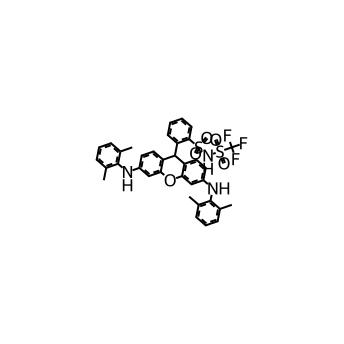 Cc1cccc(C)c1Nc1ccc2c(c1)Oc1cc(Nc3c(C)cccc3C)ccc1C2c1ccccc1S(=O)(=O)NS(=O)(=O)C(F)(F)F